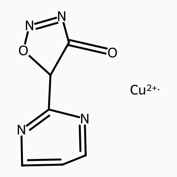 O=C1N=NOC1c1ncccn1.[Cu+2]